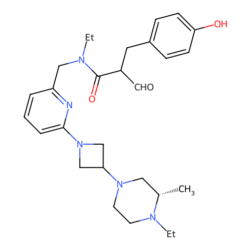 CCN(Cc1cccc(N2CC(N3CCN(CC)[C@@H](C)C3)C2)n1)C(=O)C(C=O)Cc1ccc(O)cc1